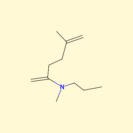 C=C(C)CCC(=C)N(C)CCC